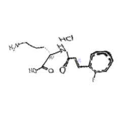 Cl.NCCC[C@H](NC(=O)/C=C/c1ccccc1F)C(=O)O